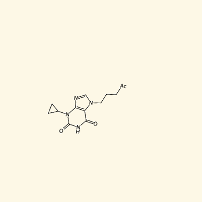 CC(=O)CCCn1cnc2c1c(=O)[nH]c(=O)n2C1CC1